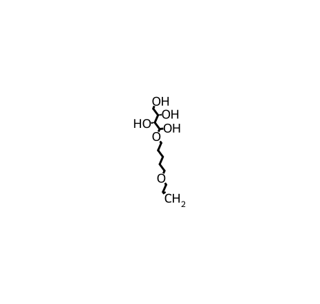 C=CCOCCCCCOC(O)[C@@H](O)[C@H](O)CO